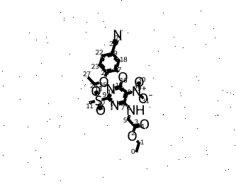 CCOC(=O)CNc1nc(S(C)(=O)=O)nc(Oc2cc(C#N)ccc2OCC)c1[N+](=O)[O-]